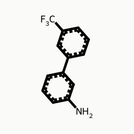 Nc1cccc(-c2cccc(C(F)(F)F)c2)c1